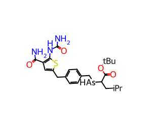 CC(C)CC([AsH]Cc1ccc(Cc2cc(C(N)=O)c(NC(N)=O)s2)cc1)C(=O)OC(C)(C)C